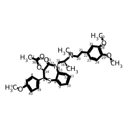 COc1ccc([C@@H]2Sc3ccccc3N(C[C@H](C)N(C)CCc3ccc(OC)c(OC)c3)C(=O)[C@@H]2OC(C)=O)cc1